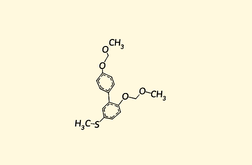 COCOc1ccc(-c2cc(SC)ccc2OCOC)cc1